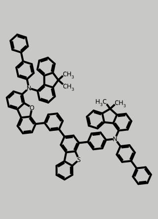 CC1(C)c2ccccc2-c2c(N(c3ccc(-c4ccccc4)cc3)c3ccc(-c4cc(-c5cccc(-c6cccc7c6oc6c(N(c8ccc(-c9ccccc9)cc8)c8cccc9c8-c8ccccc8C9(C)C)cccc67)c5)cc5c4sc4ccccc45)cc3)cccc21